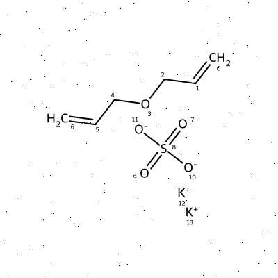 C=CCOCC=C.O=S(=O)([O-])[O-].[K+].[K+]